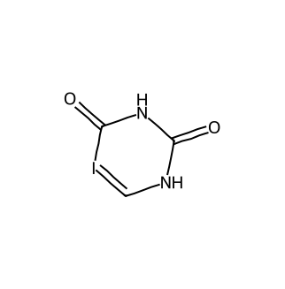 O=C1NC=IC(=O)N1